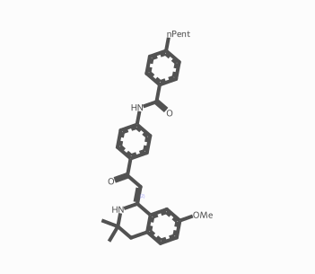 CCCCCc1ccc(C(=O)Nc2ccc(C(=O)/C=C3\NC(C)(C)Cc4ccc(OC)cc43)cc2)cc1